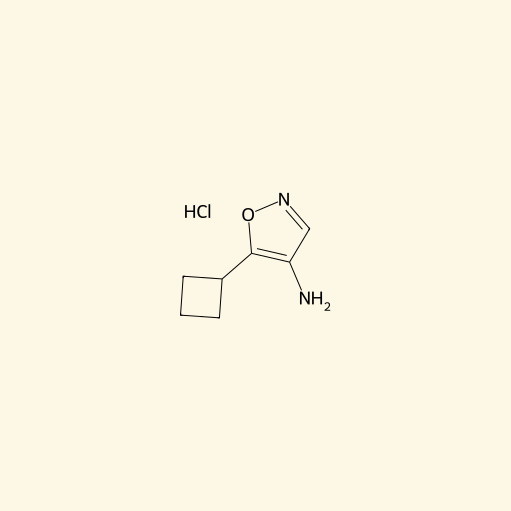 Cl.Nc1cnoc1C1CCC1